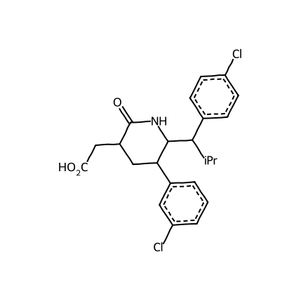 CC(C)C(c1ccc(Cl)cc1)C1NC(=O)C(CC(=O)O)CC1c1cccc(Cl)c1